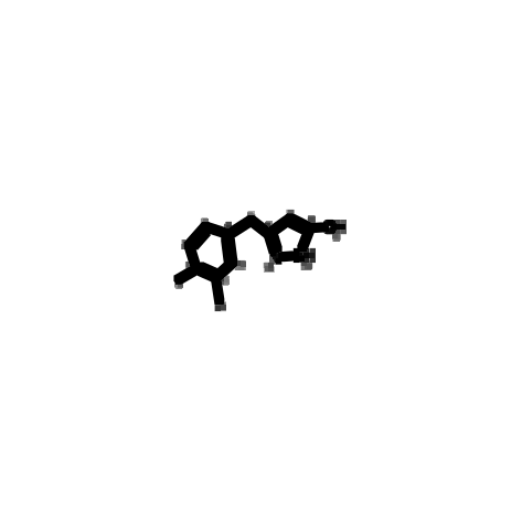 Cc1ccc(Cc2cc(O)[nH]n2)cc1C